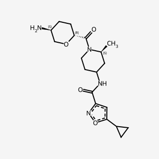 C[C@H]1CC(NC(=O)c2cc(C3CC3)on2)CCN1C(=O)[C@H]1CC[C@H](N)CO1